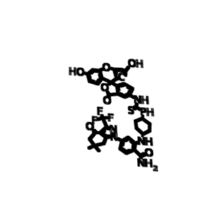 CC1(C)CC(=O)c2c(C(F)(F)F)nn(-c3ccc(C(N)=O)c(N[C@H]4CC[C@H](PC(=S)Nc5ccc6c(c5)C(=O)OC65c6ccc(O)cc6Oc6cc(O)ccc65)CC4)c3)c2C1